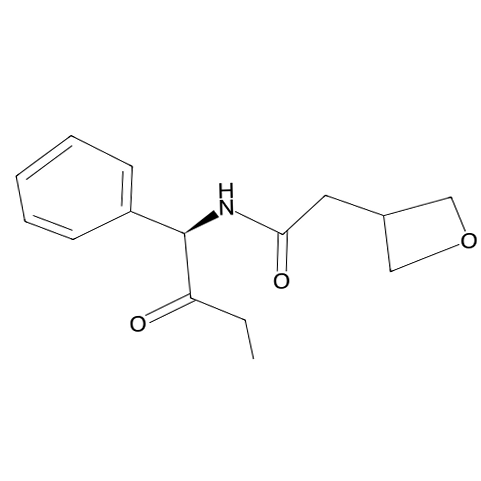 CCC(=O)[C@H](NC(=O)CC1COC1)c1ccccc1